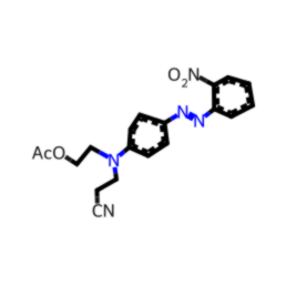 CC(=O)OCCN(CCC#N)c1ccc(N=Nc2ccccc2[N+](=O)[O-])cc1